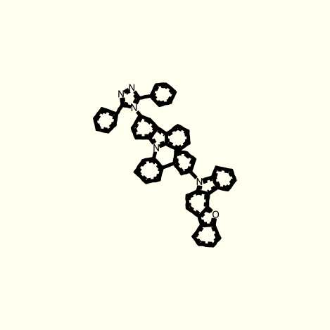 c1ccc(-c2nnc(-c3ccccc3)n2-c2ccc3c(c2)c2ccccc2n3-c2ccccc2-c2cccc(-n3c4ccccc4c4c5oc6ccccc6c5ccc43)c2)cc1